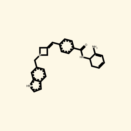 NC1=CC=CCC1NC(=O)c1ccc(C=C2CN(Cc3ccc4cc[nH]c4c3)C2)cc1